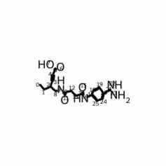 CCC(C#CC(=O)O)CNC(=O)CCC(=O)Nc1ccc(C(=N)N)cc1